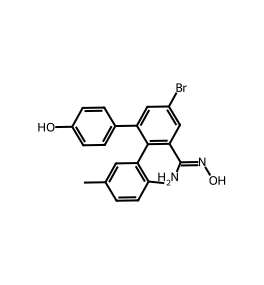 Cc1ccc(C)c(-c2c(/C(N)=N/O)cc(Br)cc2-c2ccc(O)cc2)c1